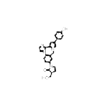 N#Cc1ccc(-c2cc3n(c2)Cc2cc(N4CCC(CO)C4=O)ccc2-n2ccnc2-3)cc1